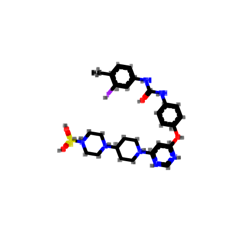 Cc1ccc(NC(=O)Nc2ccc(Oc3cc(N4CCC(N5CCN([SH](=O)=O)CC5)CC4)ncn3)cc2)cc1I